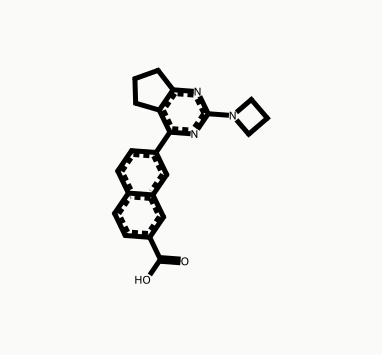 O=C(O)c1ccc2ccc(-c3nc(N4CCC4)nc4c3CCC4)cc2c1